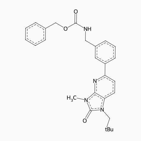 Cn1c(=O)n(CC(C)(C)C)c2ccc(-c3cccc(CNC(=O)OCc4ccccc4)c3)nc21